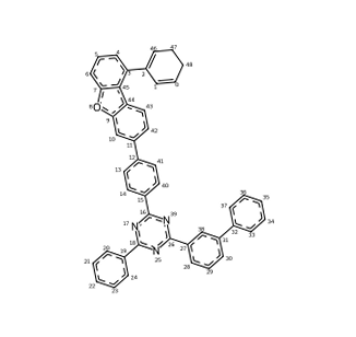 C1=CC(c2cccc3oc4cc(-c5ccc(-c6nc(-c7ccccc7)nc(-c7cccc(-c8ccccc8)c7)n6)cc5)ccc4c23)=CCC1